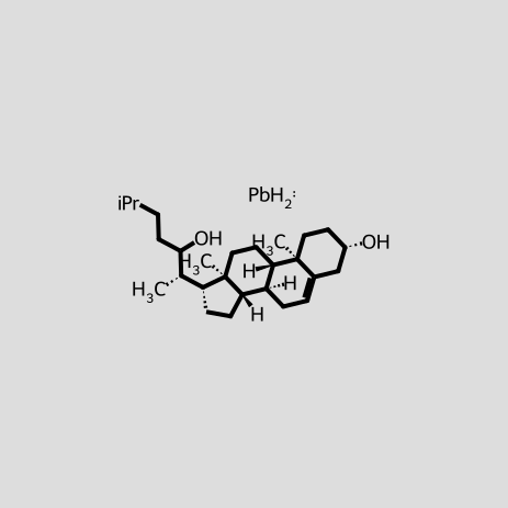 CC(C)CCC(O)[C@@H](C)[C@H]1CC[C@H]2[C@@H]3CC=C4C[C@@H](O)CC[C@]4(C)[C@H]3CC[C@]12C.[PbH2]